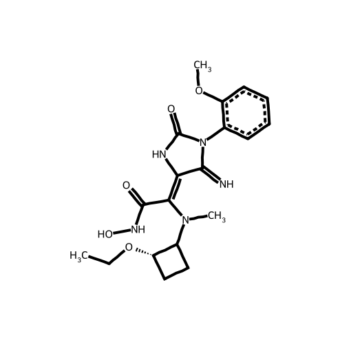 CCO[C@H]1CCC1N(C)/C(C(=O)NO)=C1/NC(=O)N(c2ccccc2OC)C1=N